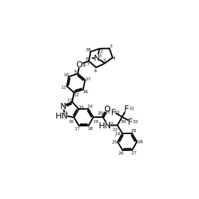 CN1C2CCC1CC(Oc1ccc(-c3n[nH]c4ccc(C(=O)NC(c5ccccc5)C(F)(F)F)cc34)cc1)C2